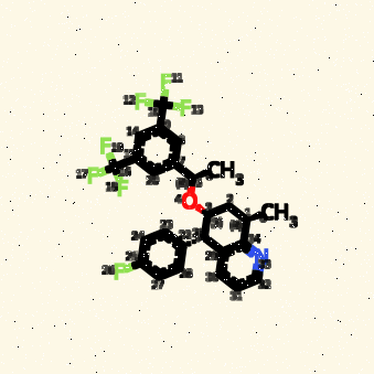 C[C@@H]1C[C@H](O[C@H](C)c2cc(C(F)(F)F)cc(C(F)(F)F)c2)[C@@H](c2ccc(F)cc2)c2cccnc21